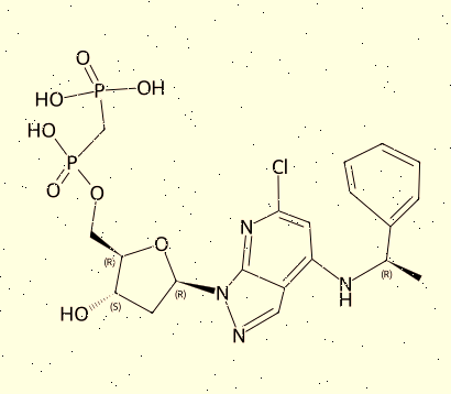 C[C@@H](Nc1cc(Cl)nc2c1cnn2[C@H]1C[C@H](O)[C@@H](COP(=O)(O)CP(=O)(O)O)O1)c1ccccc1